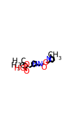 Cc1cccc(COC(=O)NCc2cccc(C[C@H](OC(C)C)C(=O)O)c2)n1